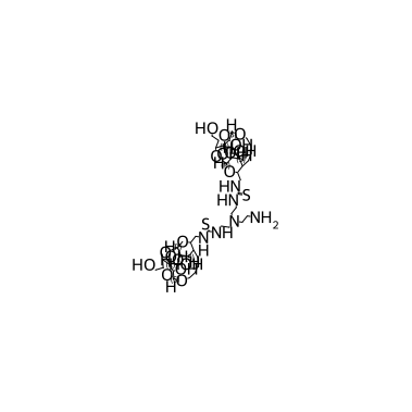 NCCN(CCNC(=S)NCC1O[C@@H]2OC3C(CO)O[C@H](OCCCCC1[C@H](O)C2O)C(O)[C@H]3O)CCNC(=S)NCC1O[C@@H]2OC3C(CO)O[C@H](OCCCCC1[C@H](O)C2O)C(O)[C@H]3O